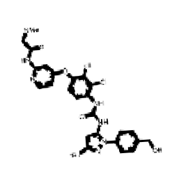 CNCC(=O)Nc1cc(Oc2ccc(NC(=O)Nc3cc(C(C)(C)C)nn3-c3ccc(CO)cc3)c(Cl)c2Cl)ccn1